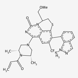 C=CC(=O)N1[C@H](C)CN(c2nc(=O)n3c4c(c(-c5cccc6cnn(C)c56)c(C(F)(F)F)cc24)SCC3COC)C[C@@H]1C